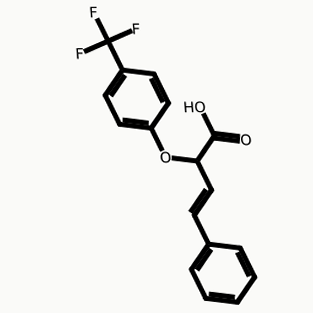 O=C(O)C(/C=C/c1ccccc1)Oc1ccc(C(F)(F)F)cc1